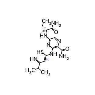 CC[C@@H](Nc1cnc(C(N)=O)c(N/C(S)=C/C(=N)C(C)C)n1)C(N)=O